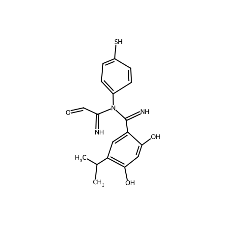 CC(C)c1cc(C(=N)N(C(=N)C=O)c2ccc(S)cc2)c(O)cc1O